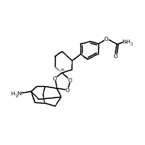 NC(=O)Oc1ccc(C2CCC[C@]3(C2)OOC2(O3)C3CC4CC2CC(N)(C4)C3)cc1